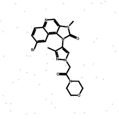 Cc1nn(CC(=O)N2CCOCC2)cc1-n1c(=O)n(C)c2cnc3ccc(Br)cc3c21